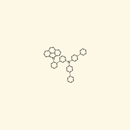 c1ccc(-c2ccc(N(c3ccc(-c4ccccc4)cc3)c3cccc(-c4ccccc4-n4c5cccc6ccc7cccc4c7c65)c3)cc2)cc1